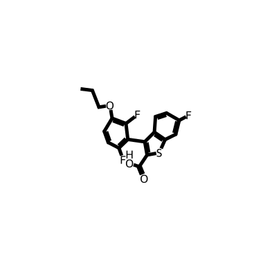 CCCOc1ccc(F)c(-c2c(C(=O)O)sc3cc(F)ccc23)c1F